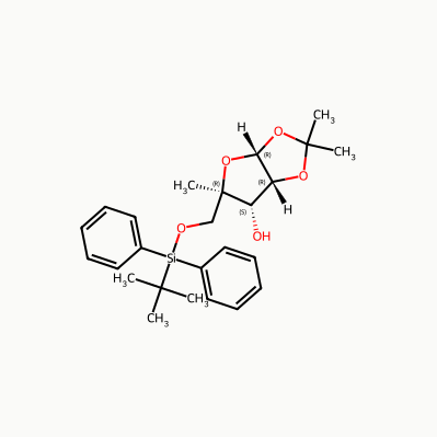 CC1(C)O[C@H]2O[C@](C)(CO[Si](c3ccccc3)(c3ccccc3)C(C)(C)C)[C@@H](O)[C@H]2O1